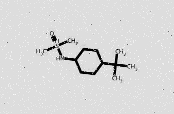 CC(C)(C)C1CCC(N[SH](C)(C)=O)CC1